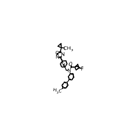 Cc1ccc(-c2cccc(N(CC34CCC(c5noc(C6(C)CC6)n5)(CC3)CC4)C(=O)C34CC(F)(C3)C4)c2)cc1